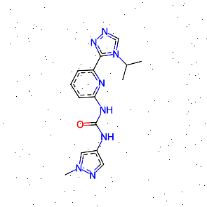 CC(C)n1cnnc1-c1cccc(NC(=O)Nc2cnn(C)c2)n1